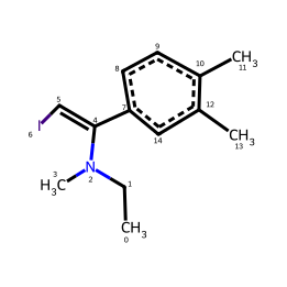 CCN(C)/C(=C\I)c1ccc(C)c(C)c1